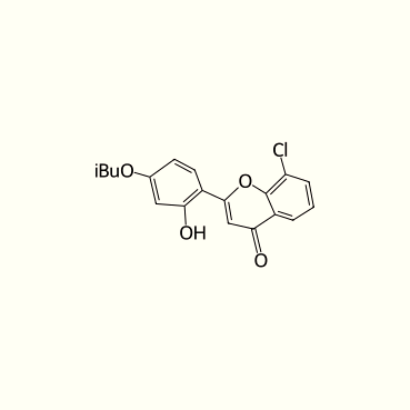 CC(C)COc1ccc(-c2cc(=O)c3cccc(Cl)c3o2)c(O)c1